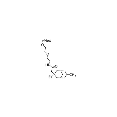 CCCCCCOCCOCCNC(=O)CC1(CC)CC2CC(C)CC(C2)C1